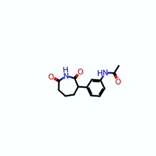 CC(=O)Nc1cccc(C2CCCC(=O)NC2=O)c1